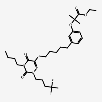 CCCCn1c(=O)c(OCCCCCc2cccc(OC(C)(C)C(=O)OCC)c2)nn(CCCC(F)(F)F)c1=O